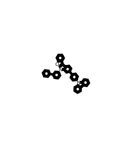 c1ccc(-c2cccc(-n3c4cc(-c5ccc(-n6c7ccccc7c7ccccc76)cc5)ccc4c4c5ccccc5oc43)c2)cc1